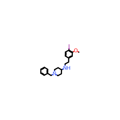 COc1cc(CCNC2CCN(Cc3ccccc3)CC2)ccc1I